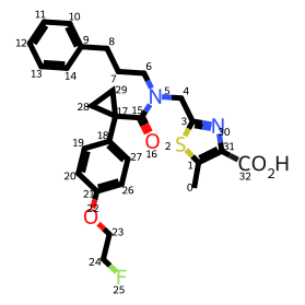 Cc1sc(CN(CCCc2ccccc2)C(=O)C2(c3ccc(OCCF)cc3)CC2)nc1C(=O)O